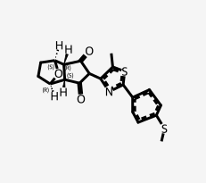 CSc1ccc(-c2nc(C3C(=O)[C@@H]4[C@H](C3=O)[C@H]3CC[C@@H]4O3)c(C)s2)cc1